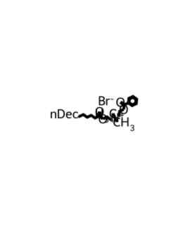 CCCCCCCCCCCCCCCC(=O)OCC[N+](C)(C)CCOC(=O)c1ccccc1.[Br-]